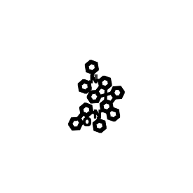 c1ccc(N(c2ccccc2)c2cccc3c2-c2ccccc2C32c3ccccc3-c3c2cc(N(c2ccccc2)c2cccc4c2oc2ccccc24)c2ccccc32)cc1